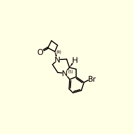 O=C1CC[C@H]1N1CCN2c3cccc(Br)c3C[C@H]2C1